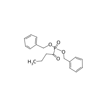 CCCC(=O)P(=O)(OCc1ccccc1)OCc1ccccc1